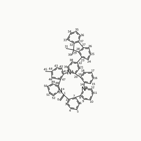 C=C1c2ccccc2-c2cccc[n+]2-c2ccccc2-c2cc(-c3cccc4c3C(C)(C)c3ccccc3-4)cc[n+]2-c2ccc(C)cc2-c2cccc[n+]21